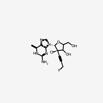 C=C1NC(N)=Nc2c1ncn2[C@@H]1OC(CO)C(O)[C@]1(Cl)C#CCF